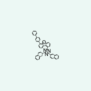 C1=CC(c2nc(-c3ccc4ccccc4c3)nc(-c3cccc4oc5c(-c6ccc(-c7ccccc7)cc6)cccc5c34)n2)Cc2ccccc21